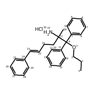 CCCOC(c1ccccc1)(c1ccccc1)C(C)(N)CCC=Cc1ccccc1.Cl